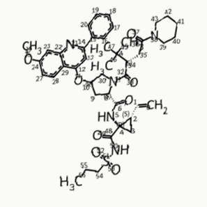 C=C[C@@H]1C[C@]1(NC(=O)[C@@H]1C[C@@H](Oc2cc(-c3ccccc3)nc3cc(OC)ccc23)CN1C(=O)[C@@H](CC(=O)N1CCCCC1)C(C)(C)C)C(=O)NS(=O)(=O)CCC